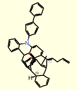 C=CC/C=C1\C2=C(C)c3cccc(c3-c3cc(N(c4ccc(-c5ccccc5)cc4)c4ccccc4C4C=CC=CC4)ccc31)[C@H]1C=CC=CC21